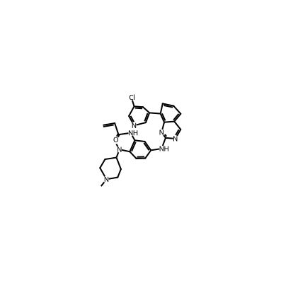 C=CC(=O)Nc1cc(Nc2ncc3cccc(-c4cncc(Cl)c4)c3n2)ccc1N(C)C1CCN(C)CC1